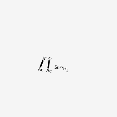 CC(=O)[S-].CC(=O)[S-].[SnH2+2]